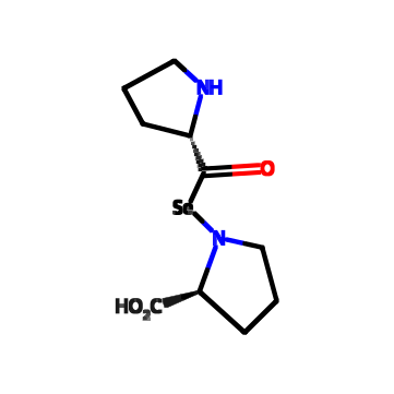 O=C([Se]N1CCC[C@H]1C(=O)O)[C@@H]1CCCN1